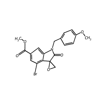 COC(=O)c1cc(Br)c2c(c1)N(Cc1ccc(OC)cc1)C(=O)C21CO1